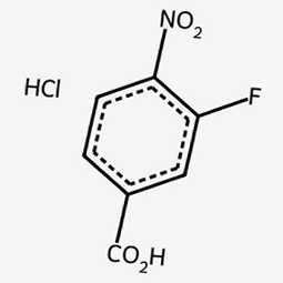 Cl.O=C(O)c1ccc([N+](=O)[O-])c(F)c1